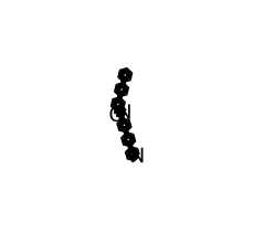 c1ccc(-c2ccc(-c3ccc4oc(-c5ccc(-c6ccc(-c7cccnc7)cc6)cc5)nc4c3)cc2)cc1